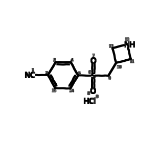 Cl.N#Cc1ccc(S(=O)(=O)CC2CNC2)cc1